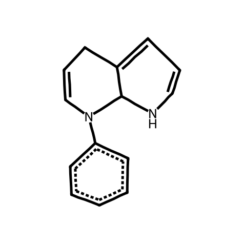 C1=CNC2C(=C1)CC=CN2c1ccccc1